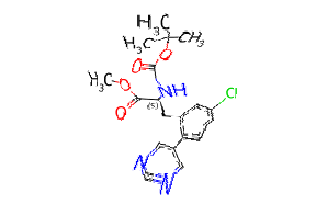 COC(=O)[C@H](Cc1cc(Cl)ccc1-c1cncnc1)NC(=O)OC(C)(C)C